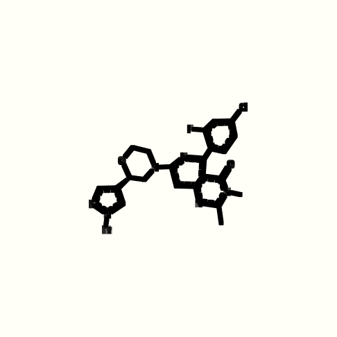 CCn1cc([C@@H]2CN(c3cc4nc(C)n(C)c(=O)c4c(-c4ccc(Cl)cc4F)n3)CCO2)cn1